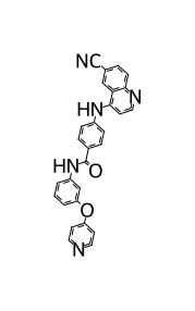 N#Cc1ccc2nccc(Nc3ccc(C(=O)Nc4cccc(Oc5ccncc5)c4)cc3)c2c1